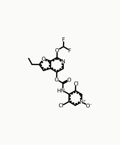 CCc1cc2c(OC(=O)Nc3c(Cl)c[n+]([O-])cc3Cl)cnc(OC(F)F)c2o1